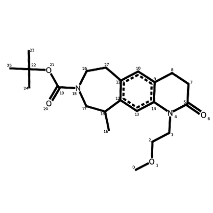 COCCN1C(=O)CCc2cc3c(cc21)C(C)CN(C(=O)OC(C)(C)C)CC3